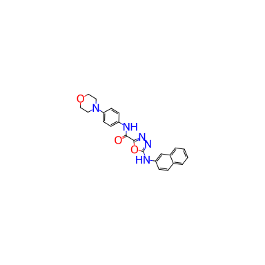 O=C(Nc1ccc(N2CCOCC2)cc1)c1nnc(Nc2ccc3ccccc3c2)o1